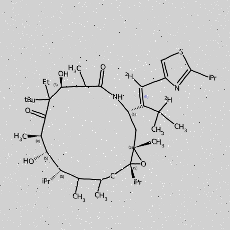 [2H]/C(=C(\[C@@H]1C[C@]2(C)O[C@]2(C(C)C)CC(C)C(C)[C@H](C(C)C)[C@H](O)[C@@H](C)C(=O)C(CC)(C(C)(C)C)[C@@H](O)C(C)C(=O)N1)C([2H])(C)C)c1csc(C(C)C)n1